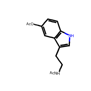 CC(=O)NCCc1c[nH]c2ccc(OC(C)=O)cc12